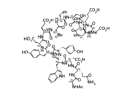 CC[C@H](C)[C@H](NC(=O)[C@H](CCC(=O)O)NC(=O)[C@H](CC(=O)O)NC(=O)[C@H](Cc1ccc(O)cc1)NC(=O)[C@H](Cc1ccc(O)cc1)NC(=O)[C@H](Cc1c[nH]c2ccccc12)NC(=O)[C@H](CC(=O)O)NC(=O)[C@H](CCC(N)=O)NC(=O)[C@H](C)NC(C)=O)C(=O)N[C@@H](CC(C)C)C(=O)N[C@@H](CO)C(=O)N[C@@H](CCSC)C(=O)N[C@@H](C)C(=O)N[C@@H](CC(=O)O)C(=O)N[C@H]([C]=O)CCC(=O)O